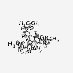 C=C(C)C(=O)Nc1ccc(-c2sc3c(-c4cnn(C)c4)cnc(N)c3c2-c2ccc(Oc3nccc(C)n3)c(F)c2)c(F)c1